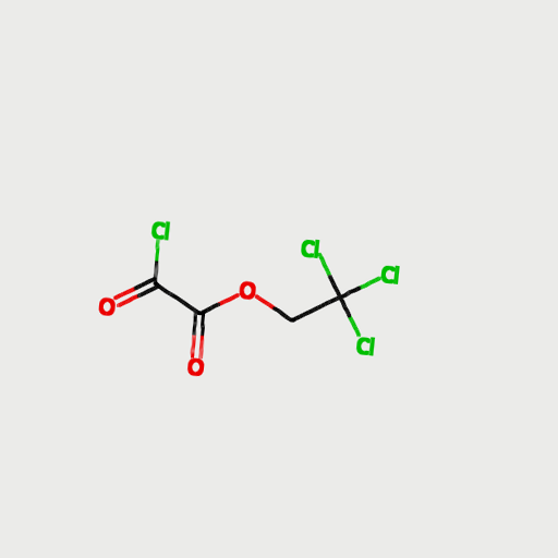 O=C(Cl)C(=O)OCC(Cl)(Cl)Cl